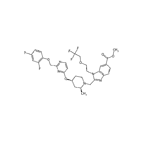 COC(=O)c1ccc2nc(CN3CC[C@H](Oc4ccnc(COc5ccc(F)cc5F)n4)C[C@@H]3C)n(CCOCC(F)(F)F)c2c1